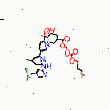 CSCCCOC(=O)OCOC(=O)[C@H]1CC[C@H]([C@@](C)(O)c2ccc(-c3cc(C)cc(Nc4cc(C(F)F)ccn4)n3)cn2)CC1